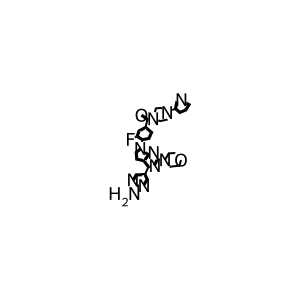 Nc1ncc(-c2nc(N3CCOCC3)nc3c2ccn3-c2ccc(C(=O)N3CCN(c4cccnc4)CC3)cc2F)cn1